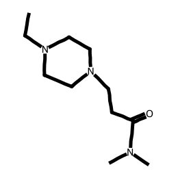 CCN1CCN(CCC(=O)N(C)C)CC1